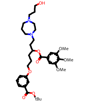 COc1cc(C(=O)OC(CCCOc2cccc(C(=O)OC(C)(C)C)c2)CCN2CCCN(CCCO)CC2)cc(OC)c1OC